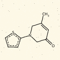 CC1=CC(=O)CN(c2cccs2)C1